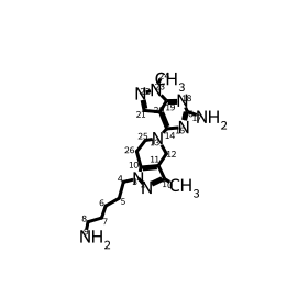 Cc1nn(CCCCCN)c2c1CN(c1nc(N)nc3c1cnn3C)CC2